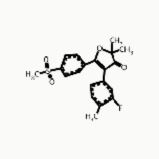 Cc1ccc(C2=C(c3ccc(S(C)(=O)=O)cc3)OC(C)(C)C2=O)cc1F